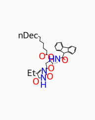 CCCCCCCCCCCCCCCC(=O)OC1C[C@@H](n2cc(CC)c(=O)[nH]c2=O)O[C@H]1CNC(=O)C1c2ccccc2-c2ccccc21